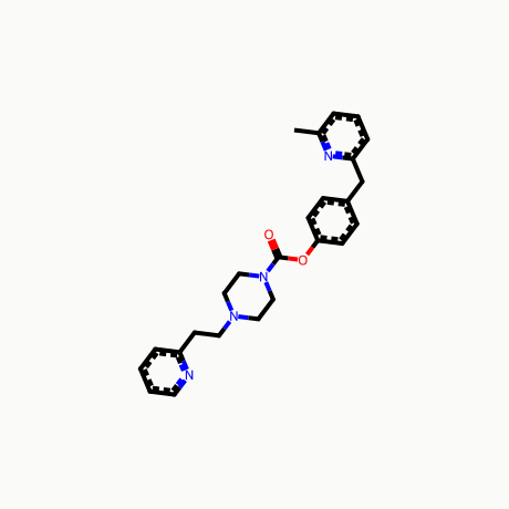 Cc1cccc(Cc2ccc(OC(=O)N3CCN(CCc4ccccn4)CC3)cc2)n1